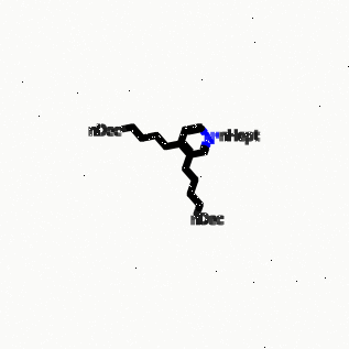 CCCCCCCCCCCCCCc1cc[n+](CCCCCCC)cc1CCCCCCCCCCCCCC